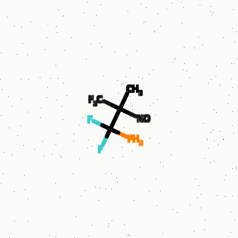 CC(N=O)(C(F)(F)F)C(F)(F)P